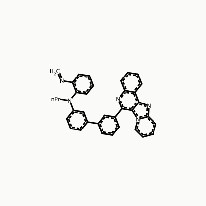 C=Nc1ccccc1N(CCC)c1cccc(-c2cccc(-c3nc4ccccc4c4nc5ccccn5c34)c2)c1